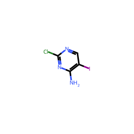 Nc1nc(Cl)ncc1I